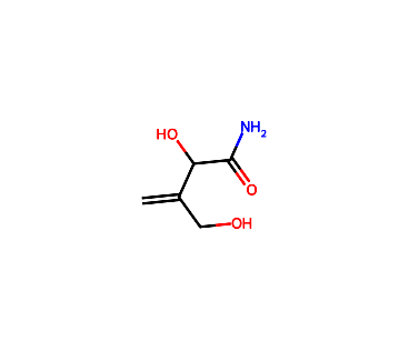 C=C(CO)C(O)C(N)=O